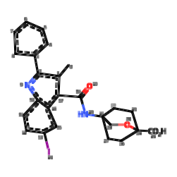 Cc1c(-c2ccccc2)nc2ccc(I)cc2c1C(=O)NC12CCC(C(=O)O)(CC1)OC2